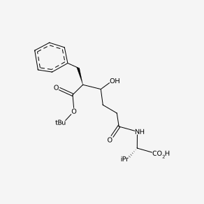 CC(C)[C@H](NC(=O)CCC(O)[C@H](Cc1ccccc1)C(=O)OC(C)(C)C)C(=O)O